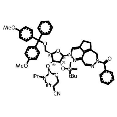 COc1ccc(C(OC[C@H]2O[C@@H](N3C=C4CCC5=C4C(=N3)C=NN(C(=O)c3ccccc3)C5)[C@H](O[Si](C)(C)C(C)(C)C)[C@@H]2OP(OCCC#N)N(C(C)C)C(C)C)(c2ccccc2)c2ccc(OC)cc2)cc1